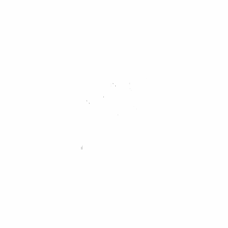 CC(C)c1cnc2[nH]c(=O)oc2c1